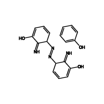 N=C1C(O)=CC=CC1N=NC1C=CC=C(O)C1=N.Oc1ccccc1